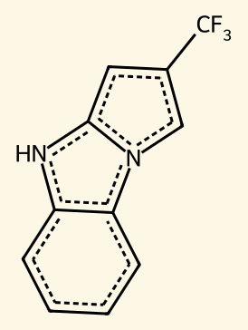 FC(F)(F)c1cc2[nH]c3ccccc3n2c1